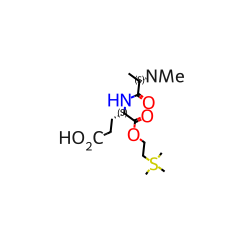 CN[C@@H](C)C(=O)N[C@@H](CCC(=O)O)C(=O)OCCS(C)(C)C